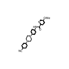 COc1ccc(C(=O)Nc2ccc(N3CCN(c4ccc(C#N)cc4)CC3)cc2)nc1